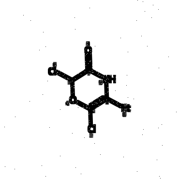 CCC1=C(Cl)OC(Cl)C(=O)N1